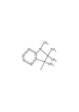 CN1c2ccccc2C(C)(I)C1(C)C